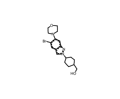 OCC1CCC(n2cc3cc(Br)c(N4CCOCC4)cc3n2)CC1